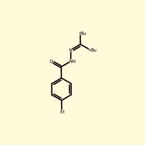 CCCC/C(=N\NC(=O)c1ccc(CC)cc1)C(C)(C)C